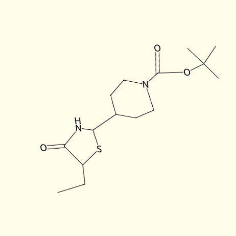 CCC1SC(C2CCN(C(=O)OC(C)(C)C)CC2)NC1=O